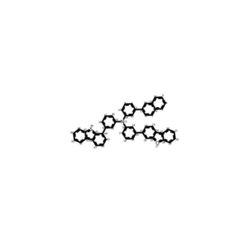 c1cc(-c2ccc3ccccc3c2)cc(N(c2cccc(-c3ccc4c(c3)oc3ccccc34)c2)c2cccc(-c3cccc4c3sc3ccccc34)c2)c1